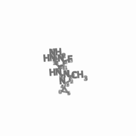 Cc1cc(C2CC2)nc(Nc2cc(F)nc(NN)c2)n1